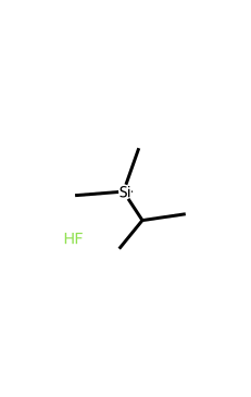 CC(C)[Si](C)C.F